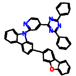 c1ccc(-c2nc(-c3ccccc3)nc(-c3ccnc(-n4c5ccccc5c5ccc(-c6ccc7c(c6)oc6ccccc67)cc54)c3)n2)cc1